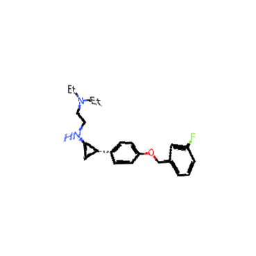 CCN(CC)CCN[C@@H]1C[C@H]1c1ccc(OCc2cccc(F)c2)cc1